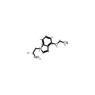 C[C@@H](N)Cn1ccc2c(OCC#N)cccc21